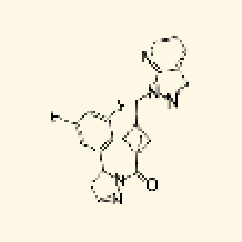 O=C(N1N=CCC1c1cc(F)cc(F)c1)C12CC(Cn3ncc4cccnc43)(C1)C2